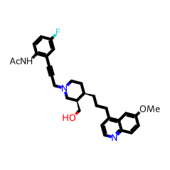 COc1ccc2nccc(CCC[C@@H]3CCN(CC#Cc4cc(F)ccc4NC(C)=O)C[C@@H]3CO)c2c1